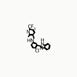 Cc1nc(C(F)(F)F)ccc1CNc1ccc(Cl)c(-c2nc3ccccc3[nH]2)c1